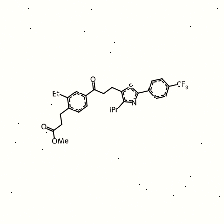 CCc1cc(C(=O)CCc2sc(-c3ccc(C(F)(F)F)cc3)nc2C(C)C)ccc1CCC(=O)OC